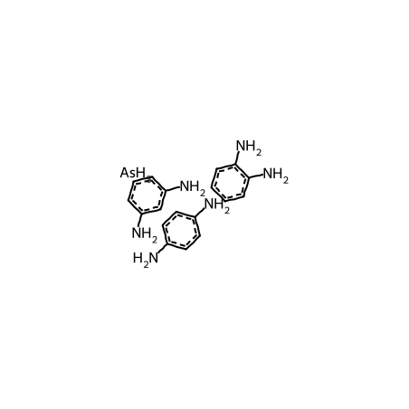 Nc1ccc(N)cc1.Nc1cccc(N)c1.Nc1ccccc1N.[AsH3]